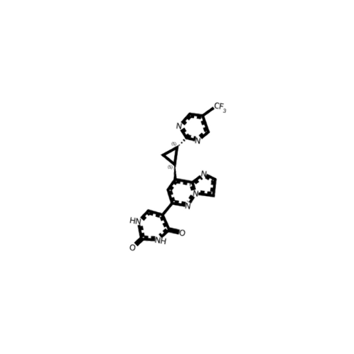 O=c1[nH]cc(-c2cc([C@H]3C[C@@H]3c3ncc(C(F)(F)F)cn3)c3nccn3n2)c(=O)[nH]1